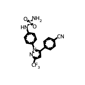 N#Cc1ccc(-c2cc(C(F)(F)F)nn2-c2ccc(NS(N)(=O)=O)cc2)cc1